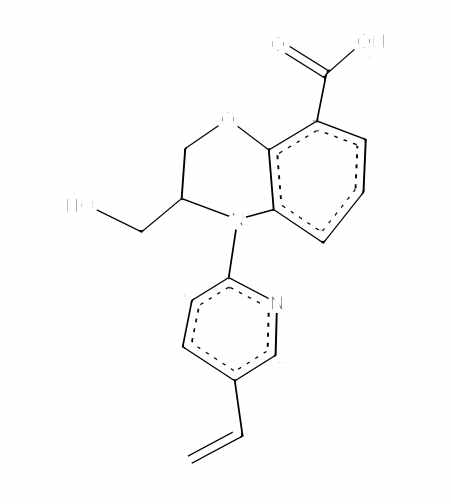 C=Cc1ccc(N2c3cccc(C(=O)O)c3OCC2CO)nc1